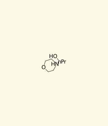 C1COCCN1.CCCO